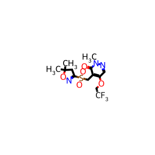 Cn1ncc(OCC(F)(F)F)c(CS(=O)(=O)C2=NOC(C)(C)C2)c1=O